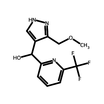 COCc1n[nH]cc1C(O)c1cccc(C(F)(F)F)n1